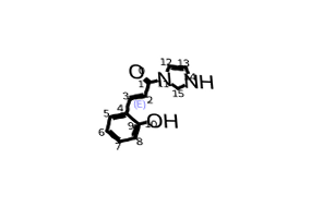 O=C(/C=C/c1ccccc1O)N1C=CNC1